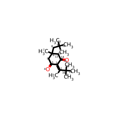 CC(=C1C(=O)CC(C)(CC(C)(C)C)CC1=O)C(C)(C)C